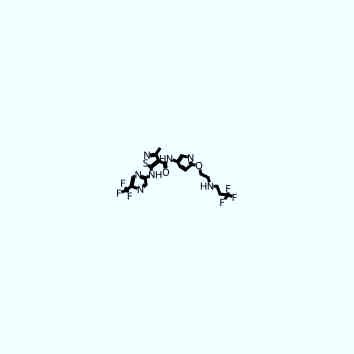 Cc1nsc(Nc2cnc(C(F)(F)F)cn2)c1C(=O)Nc1ccc(OCCNCCC(F)(F)F)nc1